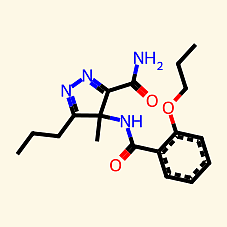 CCCOc1ccccc1C(=O)NC1(C)C(CCC)=NN=C1C(N)=O